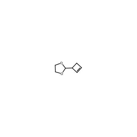 C1=CC(C2OCCO2)C1